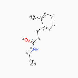 Cc1ccccc1[CH]CC(=O)NCC(F)(F)F